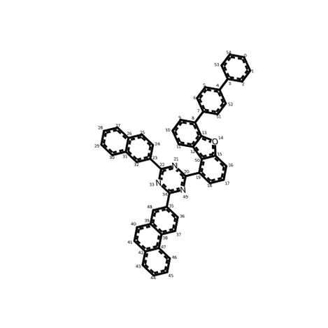 c1ccc(-c2ccc(-c3cccc4c3oc3cccc(-c5nc(-c6ccc7ccccc7c6)nc(-c6ccc7c(ccc8ccccc87)c6)n5)c34)cc2)cc1